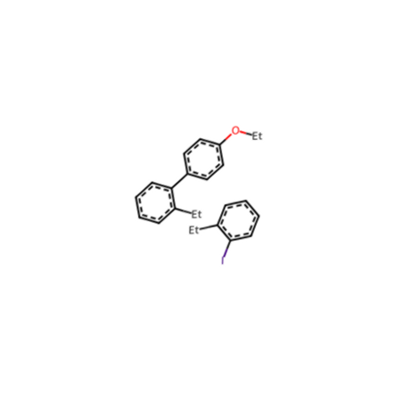 CCOc1ccc(-c2ccccc2CC)cc1.CCc1ccccc1I